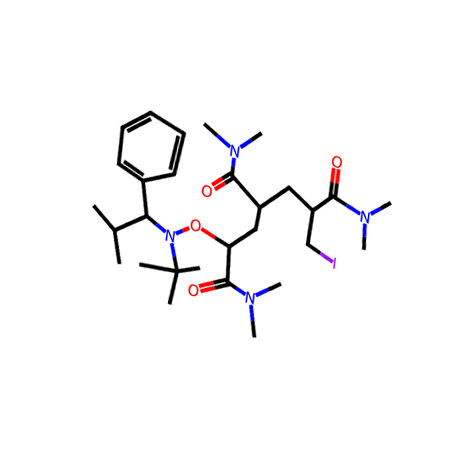 CC(C)C(c1ccccc1)N(OC(CC(CC(CI)C(=O)N(C)C)C(=O)N(C)C)C(=O)N(C)C)C(C)(C)C